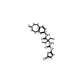 CCC(CC)(NC(=O)Oc1ccc(Cl)s1)C(=O)Nc1ccc2c(c1)CCN(C)CC2